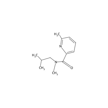 Cc1cccc(C(=O)N(C)CC(C)C)n1